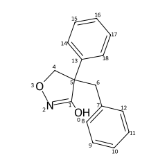 OC1=NOCC1(Cc1ccccc1)c1ccccc1